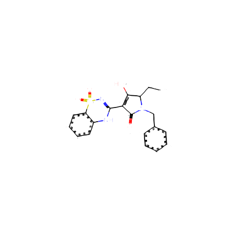 CC(C)CC1C(O)=C(C2=NS(=O)(=O)c3ccccc3N2)C(=O)N1Cc1ccccc1